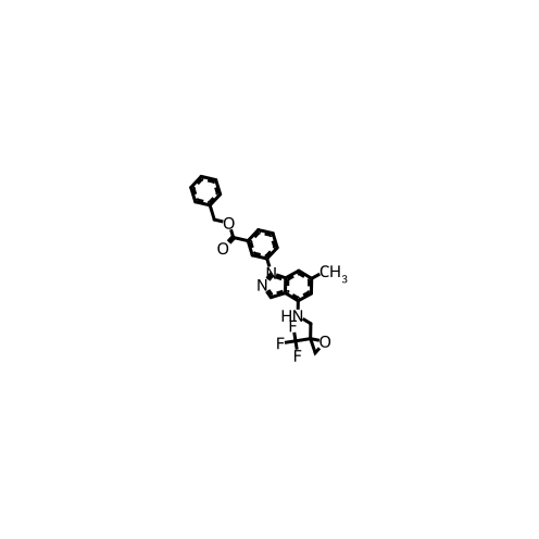 Cc1cc(NCC2(C(F)(F)F)CO2)c2cnn(-c3cccc(C(=O)OCc4ccccc4)c3)c2c1